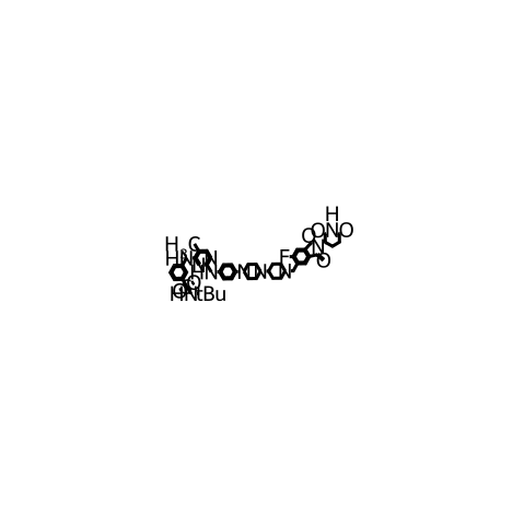 Cc1cnc(Nc2ccc(N3CCN(C4CCN(Cc5cc6c(cc5F)C(=O)N(C5CCC(=O)NC5=O)C6=O)CC4)CC3)cc2)nc1Nc1cccc(S(=O)(=O)NC(C)(C)C)c1